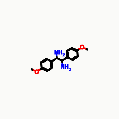 COc1ccc(C(N)C(N)c2ccc(OC)cc2)cc1